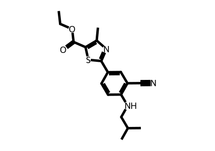 CCOC(=O)c1sc(-c2ccc(NCC(C)C)c(C#N)c2)nc1C